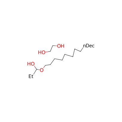 CCCCCCCCCCCCCCCCCCOC(O)CC.OCCO